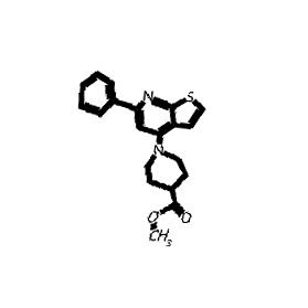 COC(=O)C1CCN(c2cc(-c3ccccc3)nc3sccc23)CC1